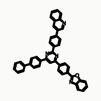 c1ccc(-c2ccc(-c3cc(-c4ccc(-c5nc6ccccc6o5)cc4)nc(-c4ccc(-c5cnc6ccccc6c5)cc4)n3)cc2)cc1